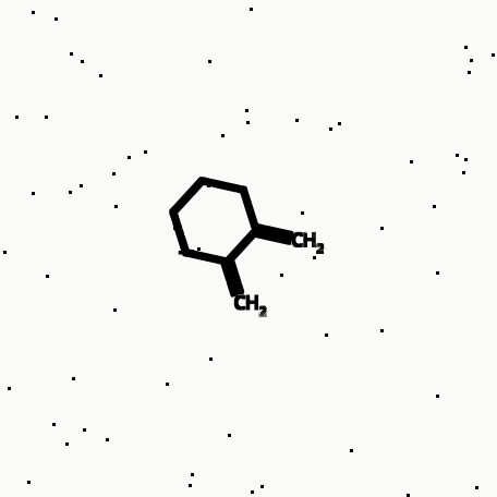 C=C1[CH]CCCC1=C